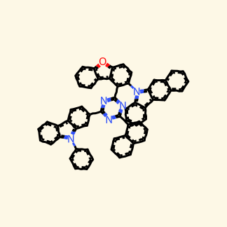 c1ccc(-n2c3ccccc3c3ccc(-c4nc(-c5cccc6ccccc56)nc(-c5c(-n6c7ccccc7c7cc8ccccc8cc76)ccc6oc7ccccc7c56)n4)cc32)cc1